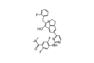 CN(C)C(=O)c1cc(F)c(Nc2nccc(-c3cc4c5c(c3)c(O)c(Cc3ccccc3F)n5CC4)n2)cc1F